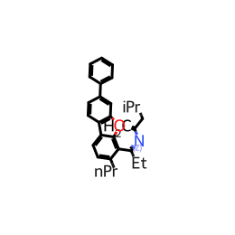 C=C(CC(C)C)/N=C(/CC)c1c(CCC)ccc2c1oc1cc(-c3ccccc3)ccc12